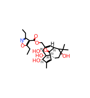 CCc1noc(CC)c1C(=O)OCC1=C[C@@H]2C(=O)[C@]3(C=C(C)[C@H](O)[C@@]3(O)[C@@H]1O)CC[C@]1(O)C2C1(C)C